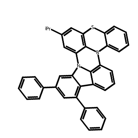 CC(C)c1cc2c3c(c1)-n1c4cc(-c5ccccc5)cc(-c5ccccc5)c4c4cccc(c41)B3c1ccccc1S2